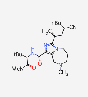 C=C(CC(C#N)CCCC)c1nc(C(=O)NC(C(=O)NC)C(C)(C)C)c2n1CCCN(C)C2